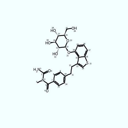 CN(C(N)=O)C(=O)c1ccc(CCc2csc3cccc(O[C@@H]4O[C@H](CO)[C@@H](O)[C@H](O)[C@H]4O)c23)cc1